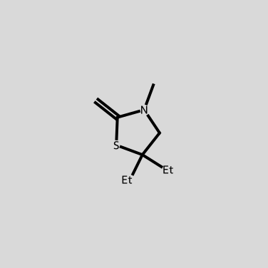 C=C1SC(CC)(CC)CN1C